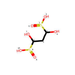 O=S(O)C(O)CC(O)S(=O)O